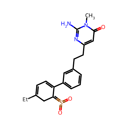 CCC1=CC=C(c2cccc(CCc3cc(=O)n(C)c(N)n3)c2)C(=S(=O)=O)C1